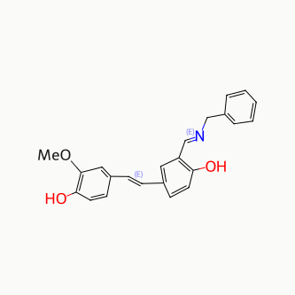 COc1cc(/C=C/c2ccc(O)c(/C=N/Cc3ccccc3)c2)ccc1O